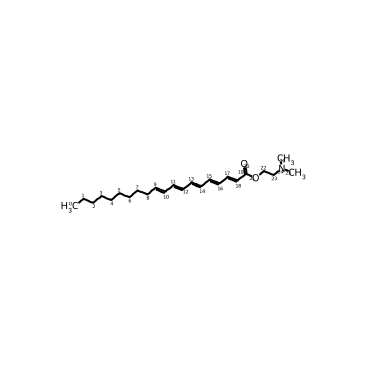 CCCCCCCCCC=CC=CC=CC=CC=CC(=O)OCCN(C)C